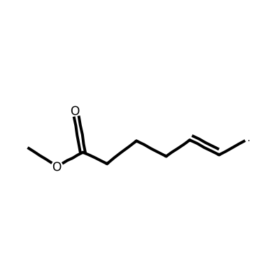 [CH2]C=CCCCC(=O)OC